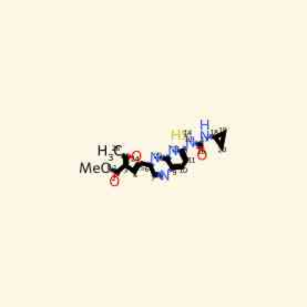 COC(=O)c1cc(-c2cnc3ccc(N(S)C(=O)NC4CC4)nc3n2)oc1C